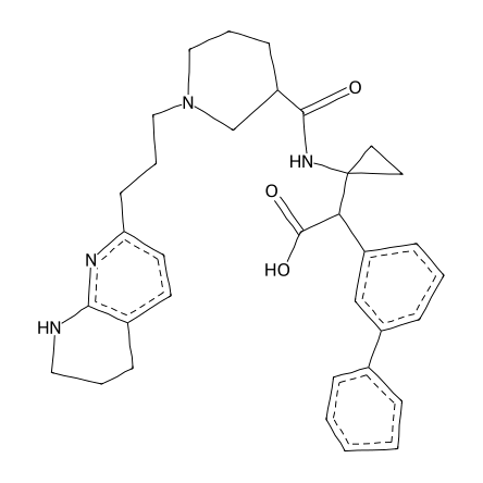 O=C(NC1(C(C(=O)O)c2cccc(-c3ccccc3)c2)CC1)C1CCCN(CCCc2ccc3c(n2)NCCC3)C1